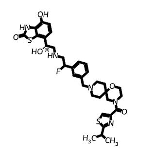 CC(C)c1nc(C(=O)N2CCOC3(CCN(Cc4cccc(C(F)CNC[C@H](O)c5ccc(O)c6[nH]c(=O)sc56)c4)CC3)C2)cs1